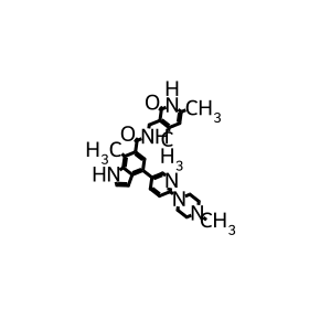 Cc1cc(C)c(CNC(=O)c2cc(-c3ccc(N4CCN(C)CC4)nc3)c3cc[nH]c3c2C)c(=O)[nH]1